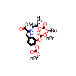 CCCOC(=O)Oc1ccc(C[C@H](NCC(C)OC(=O)OC(C)CC)C(=O)OC)cc1OC(=O)OCCC